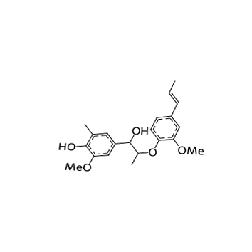 C/C=C/c1ccc(OC(C)C(O)c2cc(C)c(O)c(OC)c2)c(OC)c1